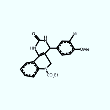 CCOC(=O)N1CC2=C(NC(=O)NC2c2ccc(OC)c(Br)c2)c2ccccc21